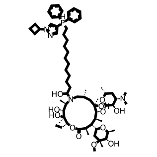 CC[C@H]1OC(=O)[C@H](C)[C@@H](C2C[C@@](C)(OC)[C@@H](O)[C@H](C)O2)[C@H](C)[C@@H](O[C@@H]2O[C@H](C)C[C@H](N(C)C)[C@H]2O)[C@](C)(O)C[C@@H](C)CN(C(O)CCCCCCCCCCC[PH](c2ccccc2)(c2ccccc2)c2cnn(C3CCC3)c2)[C@H](C)[C@@H](O)[C@]1(C)O